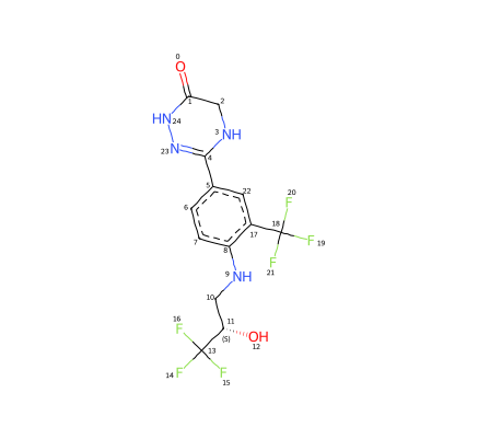 O=C1CNC(c2ccc(NC[C@H](O)C(F)(F)F)c(C(F)(F)F)c2)=NN1